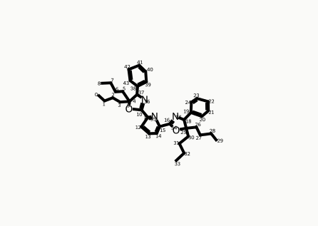 CCCCC1(CCCC)OC(c2cccc(C3=NC(c4ccccc4)C(CCCC)(CCCC)O3)n2)=NC1c1ccccc1